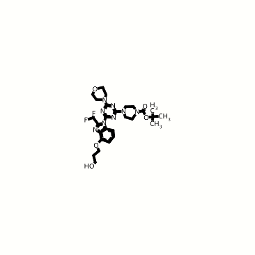 CC(C)(C)OC(=O)N1CCN(c2nc(N3CCOCC3)nc(-n3c(C(F)F)nc4c(OCCCO)cccc43)n2)CC1